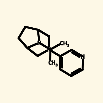 CC(C)N1C2CCC1CN(c1cccnc1)C2